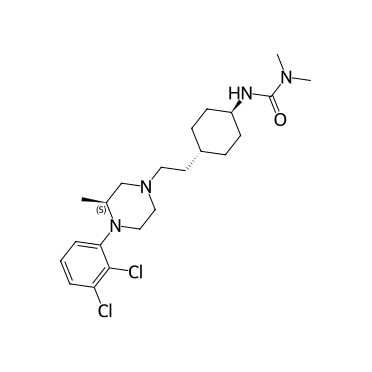 C[C@H]1CN(CC[C@H]2CC[C@H](NC(=O)N(C)C)CC2)CCN1c1cccc(Cl)c1Cl